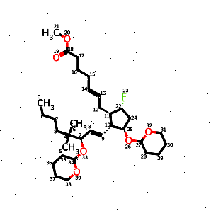 CCCCC(C)(C)[C@@H](C=C[C@@H]1[C@@H](CC=CCCCC(=O)OC)[C@H](F)C[C@H]1OC1CCCCO1)OC1CCCCO1